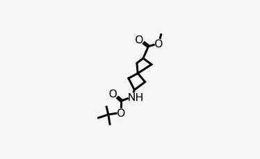 COC(=O)C1CC2(CC(NC(=O)OC(C)(C)C)C2)C1